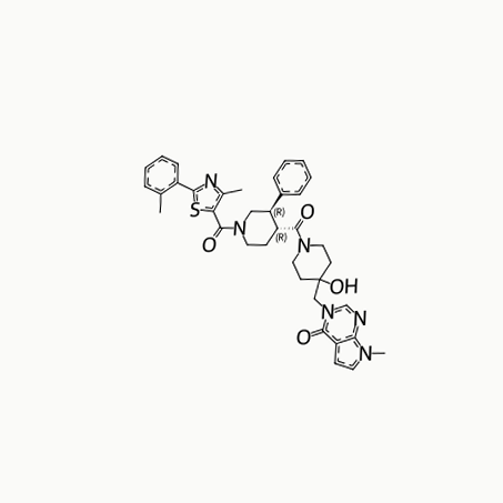 Cc1ccccc1-c1nc(C)c(C(=O)N2CC[C@@H](C(=O)N3CCC(O)(Cn4cnc5c(ccn5C)c4=O)CC3)[C@H](c3ccccc3)C2)s1